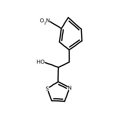 O=[N+]([O-])c1cccc(CC(O)c2nccs2)c1